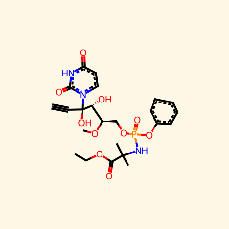 C#C[C@@](O)([C@H](O)[C@@H](COP(=O)(NC(C)(C)C(=O)OCC)Oc1ccccc1)OC)n1ccc(=O)[nH]c1=O